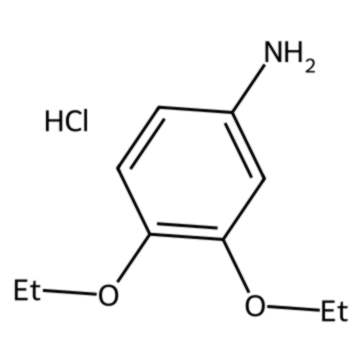 CCOc1ccc(N)cc1OCC.Cl